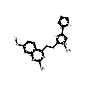 COc1ccc2c(CCc3nc(-c4cccs4)cn3C)nc(C)nc2c1